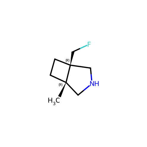 C[C@@]12CC[C@]1(CF)CNC2